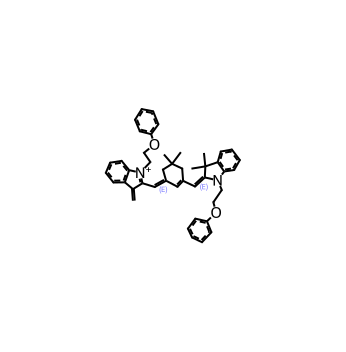 C=C1C(/C=C2C=C(/C=C3/N(CCOc4ccccc4)c4ccccc4C3(C)C)CC(C)(C)C/2)=[N+](CCOc2ccccc2)c2ccccc21